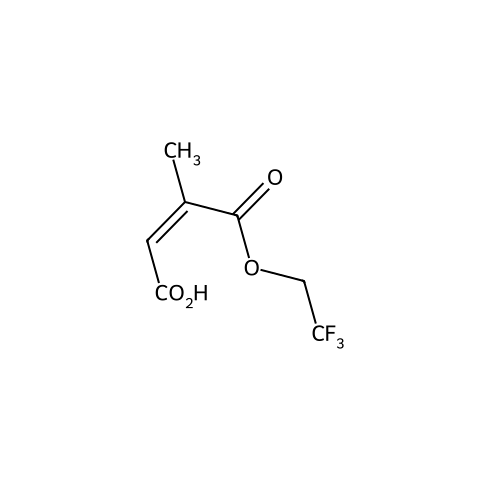 CC(=CC(=O)O)C(=O)OCC(F)(F)F